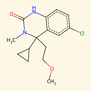 COCCC1(C2CC2)c2cc(Cl)ccc2NC(=O)N1C